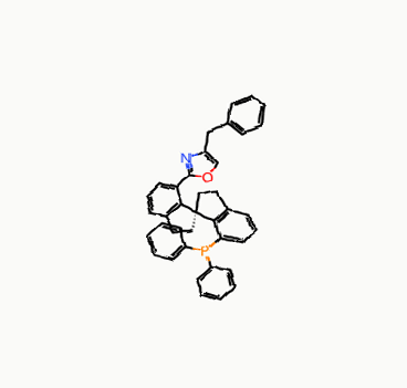 c1ccc(Cc2coc(-c3cccc4c3[C@@]3(CC4)CCc4cccc(P(c5ccccc5)c5ccccc5)c43)n2)cc1